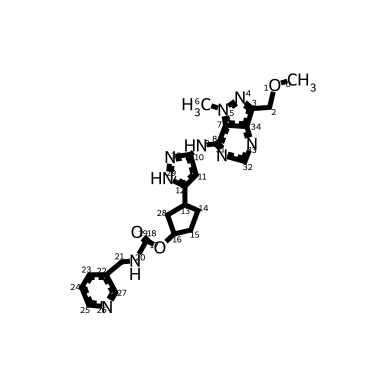 COCc1nn(C)c2c(Nc3cc(C4CCC(OC(=O)NCc5cccnc5)C4)[nH]n3)ncnc12